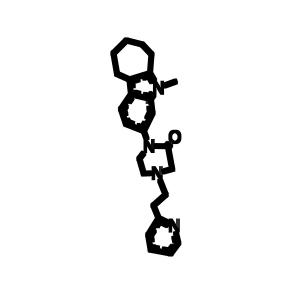 Cn1c2c(c3ccc(N4CCN(CCc5ccccn5)CC4=O)cc31)CCCCC2